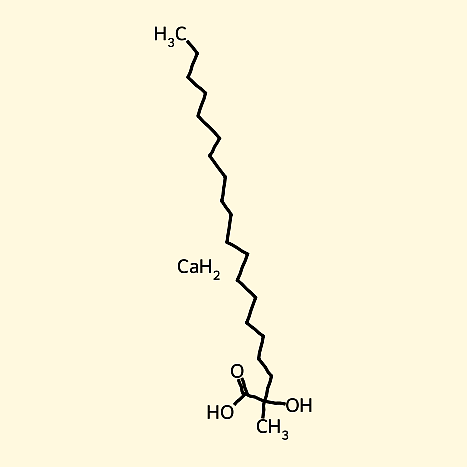 CCCCCCCCCCCCCCCCCCC(C)(O)C(=O)O.[CaH2]